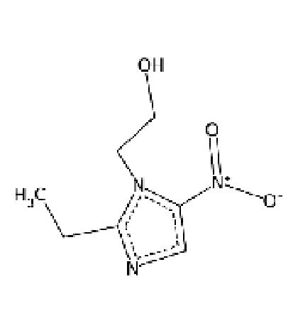 CCc1ncc([N+](=O)[O-])n1CCO